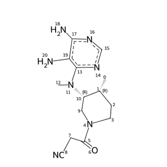 C[C@@H]1CCN(C(=O)CC#N)C[C@@H]1N(C)c1ncnc(N)c1N